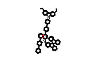 CCc1ccc2c(c1)c1cc(CC)ccc1n2-c1ccc(-c2ccc(-c3ccc(N(c4ccc5c(c4)C4(c6ccccc6-c6ccccc64)c4ccccc4-5)c4cc(-c5ccccc5)ccc4-c4ccccc4)cc3)cc2)cc1